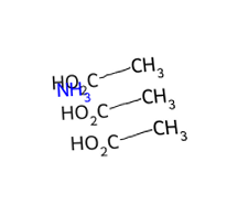 CC(=O)O.CC(=O)O.CC(=O)O.N